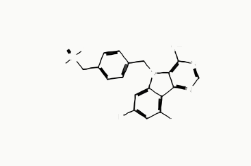 Cc1ncnc2c3c(F)cc(F)cc3n(Cc3ccc(CP(=O)(O)O)cc3)c12